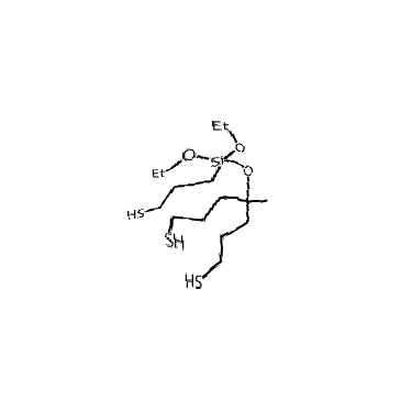 CCO[Si](CCCS)(OCC)OC(C)(CCCS)CCCS